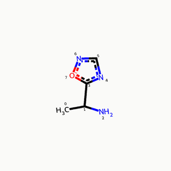 CC(N)c1ncno1